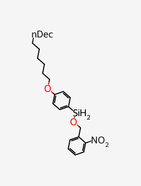 CCCCCCCCCCCCCCCCOc1ccc([SiH2]OCc2ccccc2[N+](=O)[O-])cc1